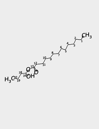 CCCCCCCCCCCCCC(=O)OC(O)CCC